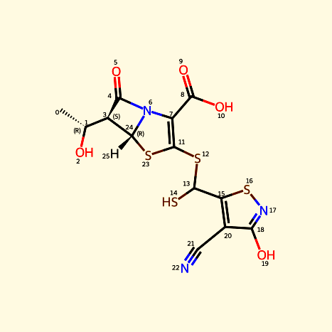 C[C@@H](O)[C@H]1C(=O)N2C(C(=O)O)=C(SC(S)c3snc(O)c3C#N)S[C@H]12